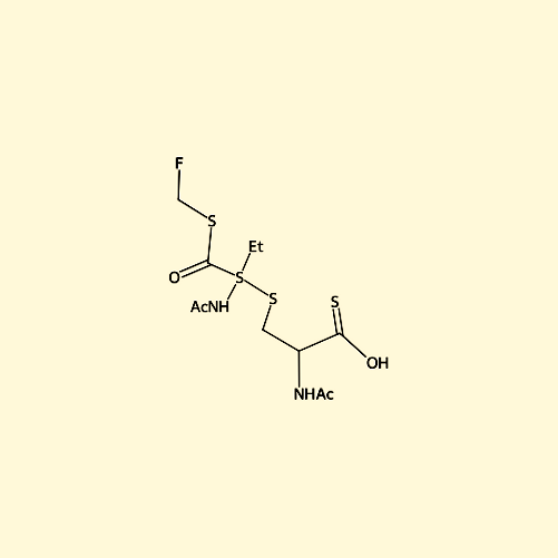 CCS(NC(C)=O)(SCC(NC(C)=O)C(O)=S)C(=O)SCF